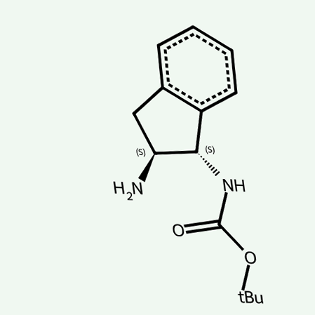 CC(C)(C)OC(=O)N[C@H]1c2ccccc2C[C@@H]1N